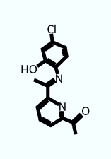 CC(=O)c1cccc(/C(C)=N/c2ccc(Cl)cc2O)n1